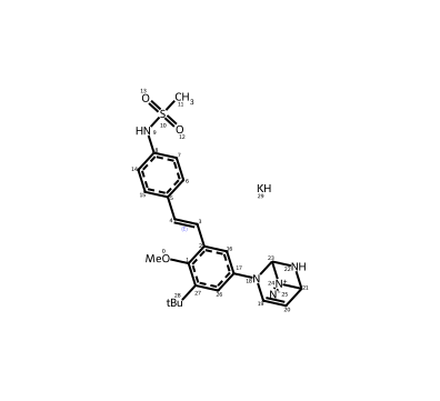 COc1c(/C=C/c2ccc(NS(C)(=O)=O)cc2)cc(N2C=CC3NC2[N+]3=[N-])cc1C(C)(C)C.[KH]